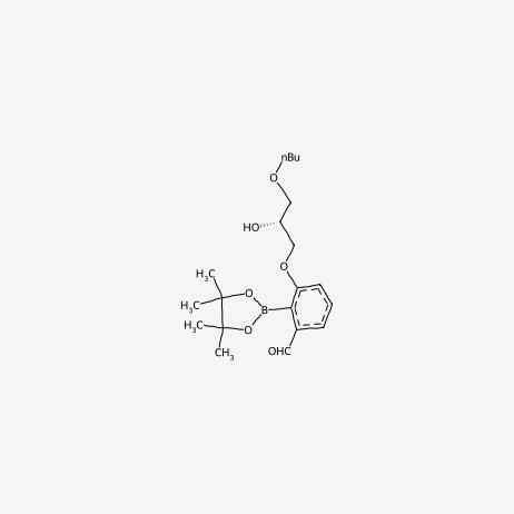 CCCCOC[C@@H](O)COc1cccc(C=O)c1B1OC(C)(C)C(C)(C)O1